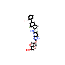 Oc1ccccc1-c1cc(F)c2c(c1)CC[C@@H]2Nc1nc2nc(O[C@@H]3CO[C@H]4[C@@H]3OC[C@H]4O)[nH]c2cc1Cl